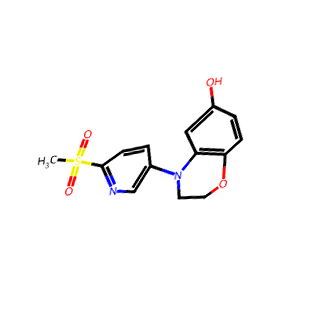 CS(=O)(=O)c1ccc(N2CCOc3ccc(O)cc32)cn1